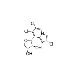 O[C@@H]1C(c2c(Cl)c(Cl)cn3cc(Cl)nc23)OC[C@@H]1O